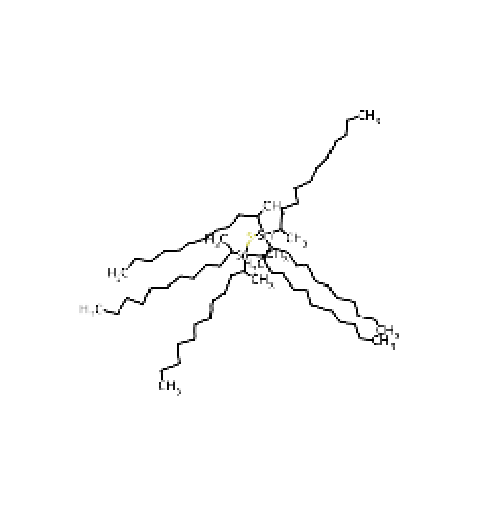 CCCCCCCCCC[CH](C)[Sn]([S][Sn]([CH](C)CCCCCCCCCC)([CH](C)CCCCCCCCCC)[CH](C)CCCCCCCCCC)([CH](C)CCCCCCCCCC)[CH](C)CCCCCCCCCC